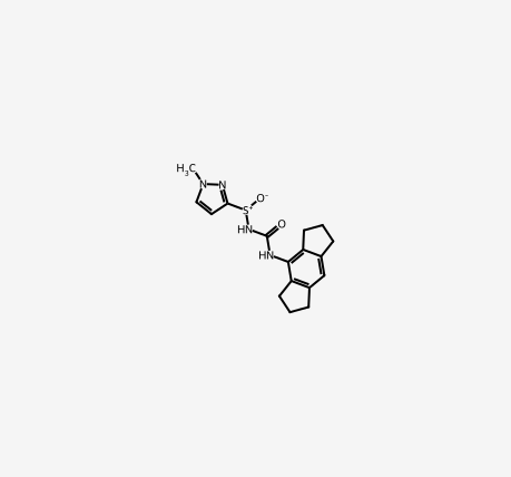 Cn1ccc([S+]([O-])NC(=O)Nc2c3c(cc4c2CCC4)CCC3)n1